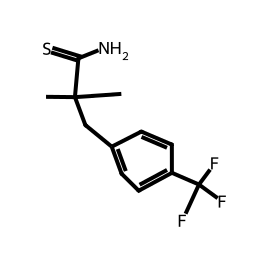 CC(C)(Cc1ccc(C(F)(F)F)cc1)C(N)=S